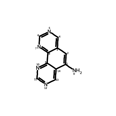 Nc1cc2cncnc2c2ncncc12